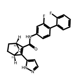 O=C(Nc1ccc(-c2ccccc2F)c(F)c1)C1=C(c2ccn[nH]2)[C@@H]2CC[C@H]1O2